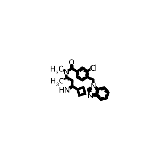 C[C@H](CC(=N)C1CCC1)N(C)C(=O)c1ccc(Cn2cnc3ccccc32)c(Cl)c1